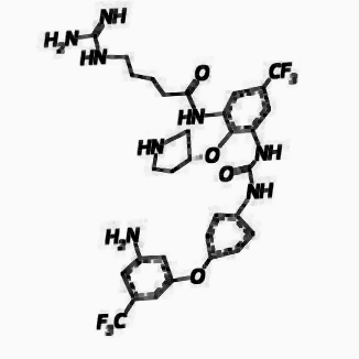 N=C(N)NCCCCC(=O)Nc1cc(C(F)(F)F)cc(NC(=O)Nc2ccc(Oc3cc(N)cc(C(F)(F)F)c3)cc2)c1O[C@@H]1CCNC1